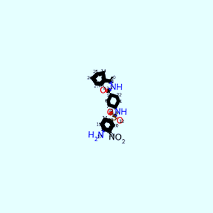 C[C@@H](NC(=O)[C@H]1CC[C@H](NS(=O)(=O)c2ccc(N)c([N+](=O)[O-])c2)CC1)c1ccccc1